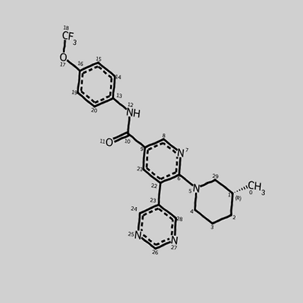 C[C@@H]1CCCN(c2ncc(C(=O)Nc3ccc(OC(F)(F)F)cc3)cc2-c2cncnc2)C1